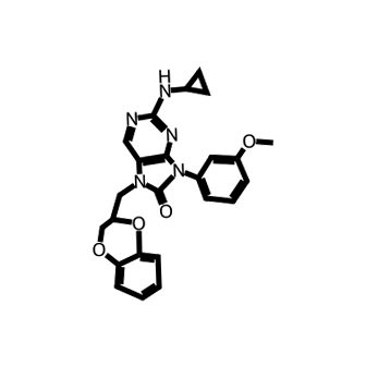 COc1cccc(-n2c(=O)n(CC3COc4ccccc4O3)c3cnc(NC4CC4)nc32)c1